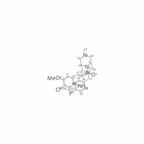 COc1cc(/C=C/C(=O)N2C3CN(C)CC2CN(Cc2ccc(F)cc2)C3)c(N)cc1Cl